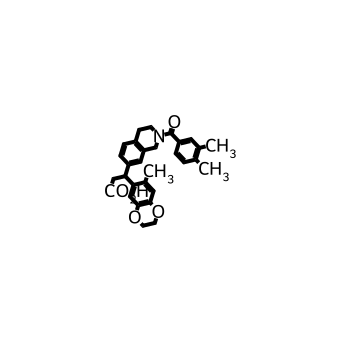 Cc1ccc(C(=O)N2CCc3ccc(C(CC(=O)O)c4cc5c(cc4C)OCCO5)cc3C2)cc1C